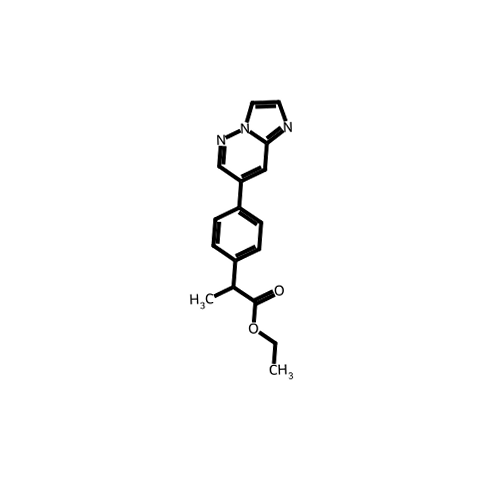 CCOC(=O)C(C)c1ccc(-c2cnn3ccnc3c2)cc1